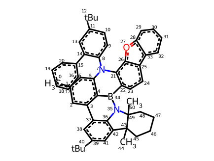 Cc1cc2c3c(c1)N(c1ccc(C(C)(C)C)cc1-c1ccccc1)c1c(ccc4c1oc1ccccc14)B3N1c3c-2cc(C(C)(C)C)cc3C2(C)CCCCC12C